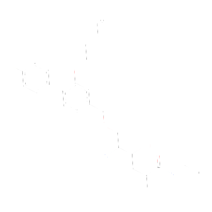 COCCCOc1cc(COCC(N)C(O)CC(C(=O)NCC(C)C)C(C)C)ccc1-c1ccc(F)cc1